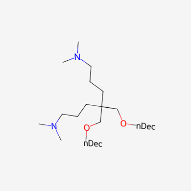 CCCCCCCCCCOCC(CCCN(C)C)(CCCN(C)C)COCCCCCCCCCC